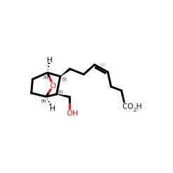 O=C(O)CC/C=C\CC[C@H]1[C@@H](CO)[C@H]2CC[C@@H]1O2